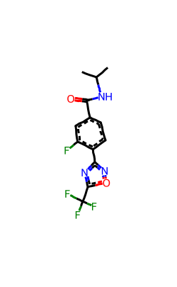 CC(C)NC(=O)c1ccc(-c2noc(C(F)(F)F)n2)c(F)c1